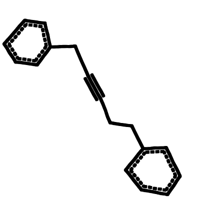 C(#CCc1ccccc1)CCc1ccccc1